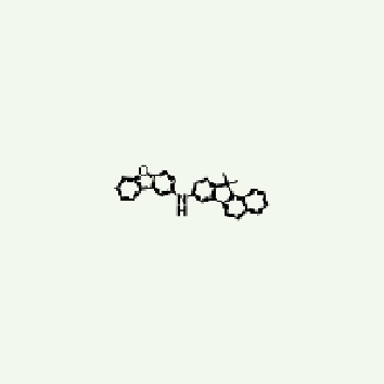 CC1(C)c2ccc(Nc3ccc4oc5ccccc5c4c3)cc2-c2ccc3ccccc3c21